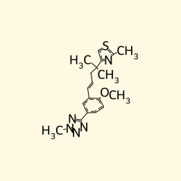 COc1ccc(-c2nnn(C)n2)cc1/C=C/CC(C)(C)c1csc(C)n1